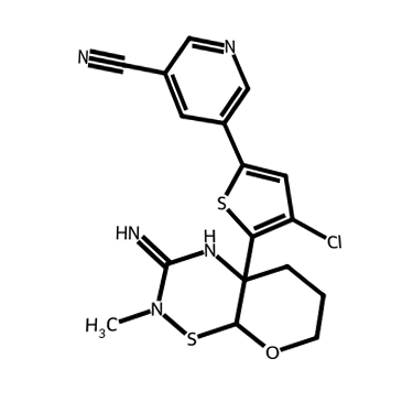 CN1SC2OCCCC2(c2sc(-c3cncc(C#N)c3)cc2Cl)NC1=N